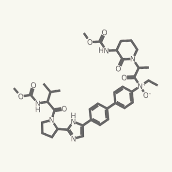 CC[N+]([O-])(C(=O)C(C)N1CCCC(NC(=O)OC)C1=O)c1ccc(-c2ccc(-c3cnc(C4CCCN4C(=O)C(NC(=O)OC)C(C)C)[nH]3)cc2)cc1